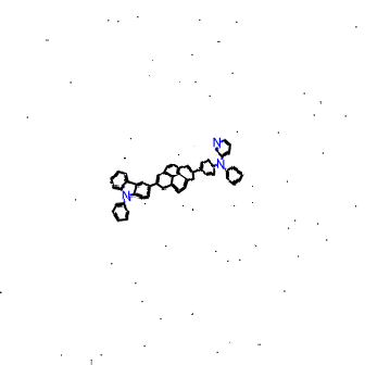 C1=C(c2ccc(N(c3ccccc3)c3cccnc3)cc2)Cc2ccc3c4c(ccc1c24)C=C(c1ccc2c(c1)c1ccccc1n2-c1ccccc1)C3